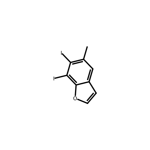 Cc1cc2ccoc2c(I)c1I